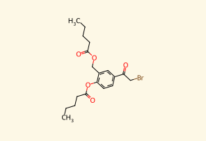 CCCCC(=O)OCc1cc(C(=O)CBr)ccc1OC(=O)CCCC